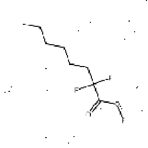 CCCCCCC(F)(F)C(=O)OF